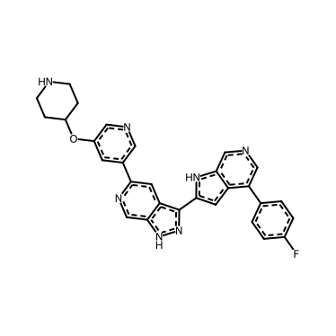 Fc1ccc(-c2cncc3[nH]c(-c4n[nH]c5cnc(-c6cncc(OC7CCNCC7)c6)cc45)cc23)cc1